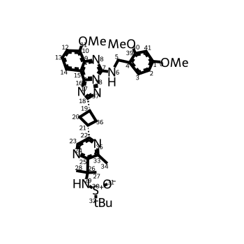 COc1ccc(CNc2nc3c(OC)cccc3c3nc([C@H]4C[C@@H](c5cnc(C(C)(C)N[S+]([O-])C(C)(C)C)c(C)n5)C4)nn23)c(OC)c1